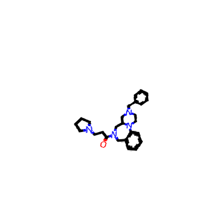 O=C(CCN1CCCC1)N1Cc2ccccc2N2CCN(Cc3ccccc3)CC2C1